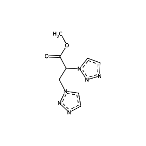 COC(=O)C(Cn1ccnn1)n1ccnn1